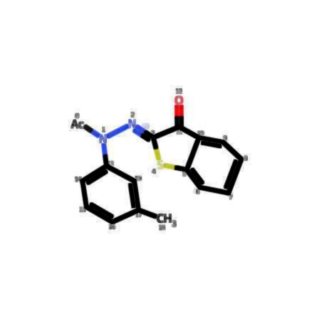 CC(=O)N(/N=C1\Sc2ccccc2C1=O)c1cccc(C)c1